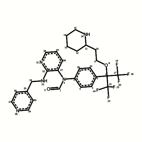 O=CN(c1ccc(C(OCCC2CCCCN2)(C(F)(F)F)C(F)(F)F)cc1)c1cccnc1NCc1ccncc1